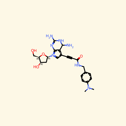 CN(C)c1ccc(CNC(=O)C#Cc2cn([C@H]3C[C@@H](O)[C@@H](CO)O3)c3c2C(N)NC(N)=N3)cc1